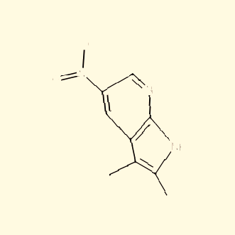 Cc1[nH]c2ncc([N+](=O)[O-])cc2c1C